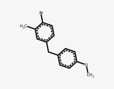 COc1ccc(Cc2ccc(Br)c(C)c2)cc1